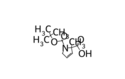 CC(C)(C)OC(=O)N1CC=CC1(C)C(=O)O